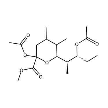 CC[C@@H](OC(C)=O)[C@@H](C)C1OC(OC(C)=O)(C(=O)OC)CC(C)C1C